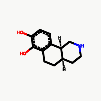 Oc1ccc2c(c1O)CC[C@@H]1CCNC[C@H]21